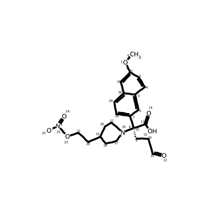 COc1ccc2cc([C@@](CCC=O)(C(=O)O)N3CCC(CCO[N+](=O)[O-])CC3)ccc2c1